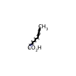 CC#CC#CCCCC/C=C/C(=O)O